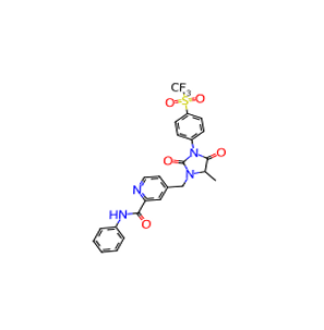 CC1C(=O)N(c2ccc(S(=O)(=O)C(F)(F)F)cc2)C(=O)N1Cc1ccnc(C(=O)Nc2ccccc2)c1